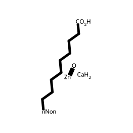 CCCCCCCCCCCCCCCCCC(=O)O.[CaH2].[O]=[Zn]